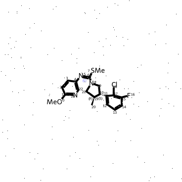 COc1ccc(/N=C(/SC)N2C[C@H](c3cccc(F)c3Cl)[C@@H](C)C2)cn1